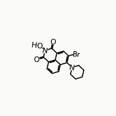 O=C1c2cccc3c(N4CCCCC4)c(Br)cc(c23)C(=O)N1O